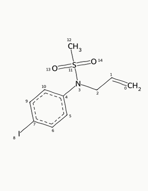 C=CCN(c1ccc(I)cc1)S(C)(=O)=O